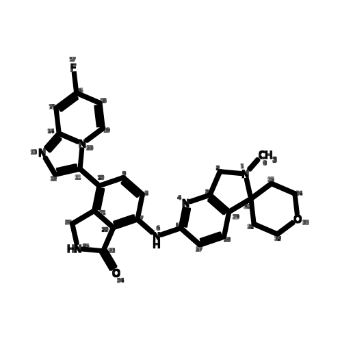 CN1Cc2nc(Nc3ccc(-c4cnc5cc(F)ccn45)c4c3C(=O)NC4)ccc2C12CCOCC2